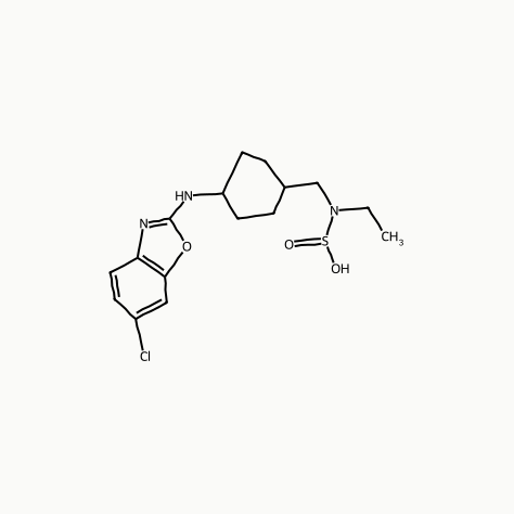 CCN(CC1CCC(Nc2nc3ccc(Cl)cc3o2)CC1)S(=O)O